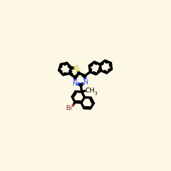 CC1(c2nc(-c3ccc4ccccc4c3)c3sc4ccccc4c3n2)C=CC(Br)=C2C=CC=CC21